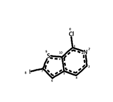 Clc1nccc2cc(I)sc12